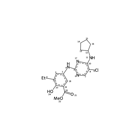 CCc1cc(Nc2ncc(Cl)c(NC3CCCC3)n2)cc(C(=O)OC)c1O